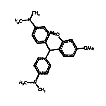 COc1ccc(C(c2ccc(N(C)C)cc2)c2ccc(N(C)C)cc2)c(OC)c1